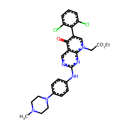 CCOC(=O)Cn1cc(-c2c(Cl)cccc2Cl)c(=O)c2cnc(Nc3ccc(N4CCN(C)CC4)cc3)nc21